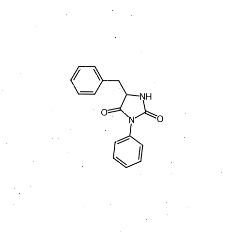 O=C1NC(Cc2ccccc2)C(=O)N1c1ccccc1